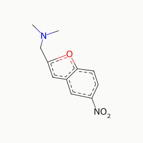 CN(C)Cc1cc2cc([N+](=O)[O-])ccc2o1